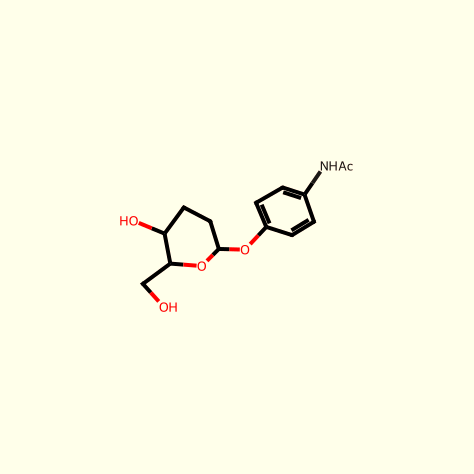 CC(=O)Nc1ccc(OC2CCC(O)C(CO)O2)cc1